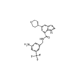 Nc1cc(CNC(=O)c2cc(C3=CCOCC3)cc3cc[nH]c23)cc(C(F)(F)F)c1